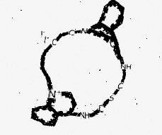 [I-].[I-].c1ccc2c(c1)c1cc[n+]2CCCCC[n+]2ccc(c3ccccc32)NCCSCCN1